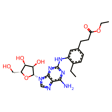 CCOC(=O)CCc1ccc(CC)c(Nc2nc(N)c3ncn([C@@H]4O[C@H](CO)[C@@H](O)[C@H]4O)c3n2)c1